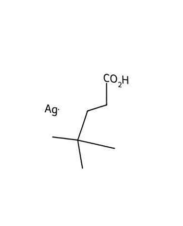 CC(C)(C)CCC(=O)O.[Ag]